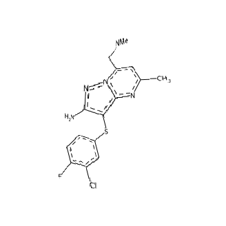 CNCc1cc(C)nc2c(Sc3ccc(F)c(Cl)c3)c(N)nn12